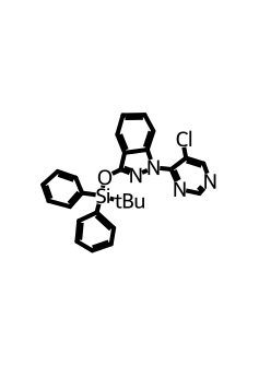 CC(C)(C)[Si](Oc1nn(-c2ncncc2Cl)c2ccccc12)(c1ccccc1)c1ccccc1